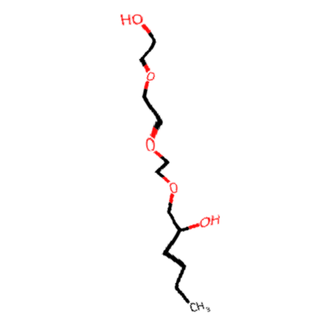 CCCCC(O)COCCOCCOCCO